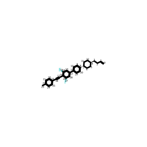 C=CCC[C@H]1CC[C@H](c2ccc(-c3cc(F)c(C#Cc4ccc(C)cc4)c(F)c3)cc2)CC1